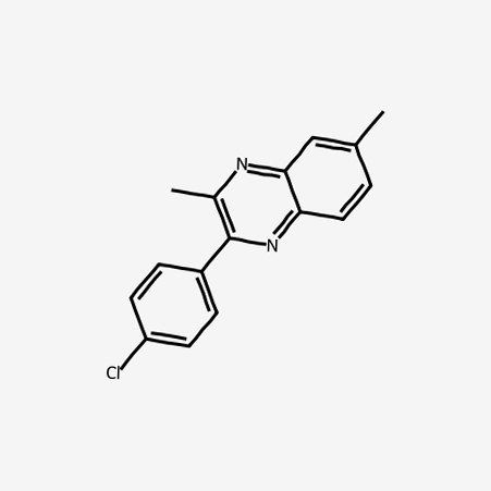 Cc1ccc2nc(-c3ccc(Cl)cc3)c(C)nc2c1